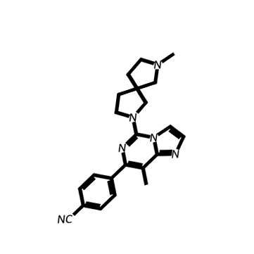 Cc1c(-c2ccc(C#N)cc2)nc(N2CCC3(CCN(C)C3)C2)n2ccnc12